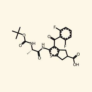 C[C@H](NC(=O)OC(C)(C)C)C(=O)Nc1sc2c(c1C(=O)c1c(F)cccc1F)CC(C(=O)O)C2